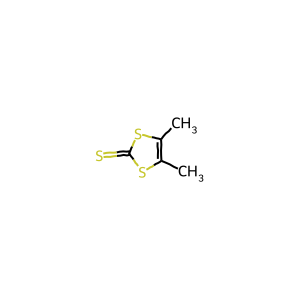 Cc1sc(=S)sc1C